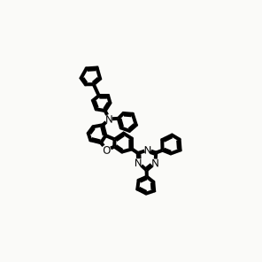 c1ccc(-c2ccc(N(c3ccccc3)c3cccc4oc5cc(-c6nc(-c7ccccc7)nc(-c7ccccc7)n6)ccc5c34)cc2)cc1